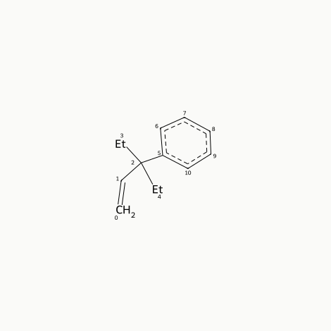 C=CC(CC)(CC)c1ccccc1